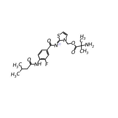 CC(C)CC(=O)Nc1ccc(C(=O)/N=c2\sccn2COC(=O)C(C)(C)N)cc1F